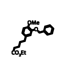 CCOC(=O)CCCCc1ccc(OC)c(OCc2ccccc2)c1